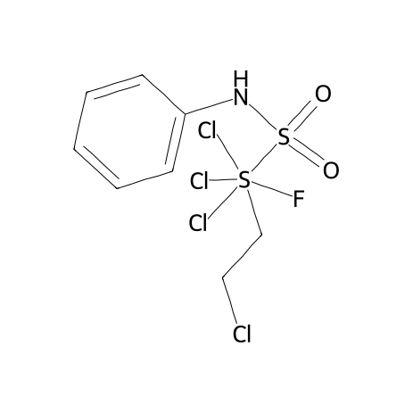 O=S(=O)(Nc1ccccc1)S(F)(Cl)(Cl)(Cl)CCCl